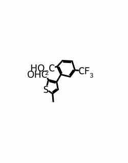 Cc1cc(-c2cc(C(F)(F)F)ccc2C(=O)O)c(C=O)s1